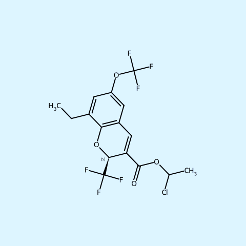 CCc1cc(OC(F)(F)F)cc2c1O[C@H](C(F)(F)F)C(C(=O)OC(C)Cl)=C2